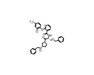 O=C(N[C@H](COCc1ccccc1)C(=O)N1CC[C@@H](NCc2ccccc2)C1)c1cccnc1Oc1ccc(C(F)(F)F)cc1Cl